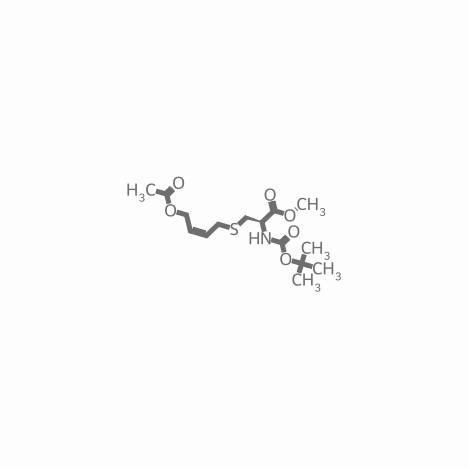 COC(=O)[C@H](CSC/C=C\COC(C)=O)NC(=O)OC(C)(C)C